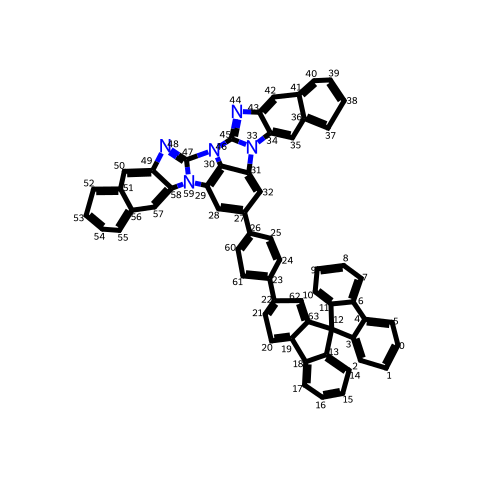 c1ccc2c(c1)-c1ccccc1C21c2ccccc2-c2ccc(-c3ccc(-c4cc5c6c(c4)n4c7cc8ccccc8cc7nc4n6c4nc6cc7ccccc7cc6n54)cc3)cc21